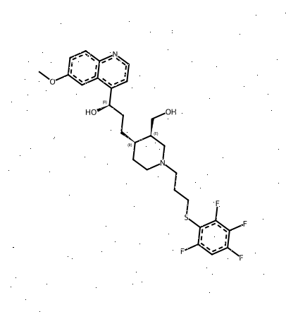 COc1ccc2nccc([C@H](O)CC[C@@H]3CCN(CCCSc4c(F)cc(F)c(F)c4F)C[C@@H]3CO)c2c1